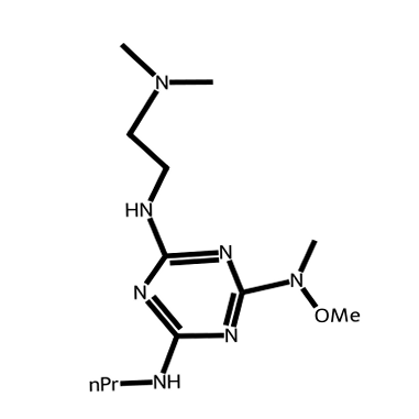 CCCNc1nc(NCCN(C)C)nc(N(C)OC)n1